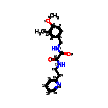 COc1ccc(CNC(=O)C(=O)NCCc2ccccn2)cc1C